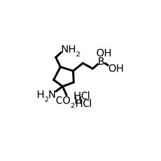 Cl.Cl.NCC1CC(N)(C(=O)O)CC1CCB(O)O